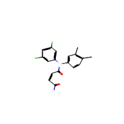 Cc1ccc(N(C(=O)/C=C\C(N)=O)c2cc(Cl)cc(Cl)c2)cc1C